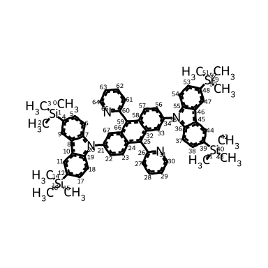 C[Si](C)(C)c1ccc2c(c1)c1cc([Si](C)(C)C)ccc1n2-c1ccc2c(-c3ccccn3)c3cc(-n4c5ccc([Si](C)(C)C)cc5c5cc([Si](C)(C)C)ccc54)ccc3c(-c3ccccn3)c2c1